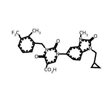 Cc1c(Cn2c(=O)c(C(=O)O)cn(-c3ccc4c(c3)n(C)c(=O)n4CC3CC3)c2=O)cccc1C(F)(F)F